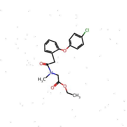 CCOC(=O)CN(C)C(=O)Cc1ccccc1Oc1ccc(Cl)cc1